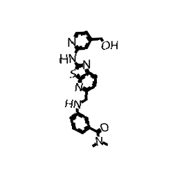 CN(C)C(=O)c1cccc(NCc2ccc3nc(Nc4cc(CO)ccn4)sc3n2)c1